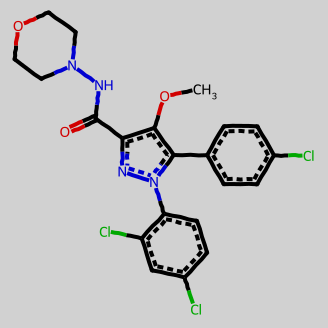 COc1c(C(=O)NN2CCOCC2)nn(-c2ccc(Cl)cc2Cl)c1-c1ccc(Cl)cc1